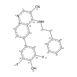 N#Cc1cnc2ccc(-c3cc(F)c(O)c(F)c3)cc2c1NCCc1ccccc1